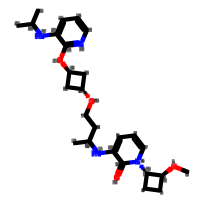 CO[C@H]1CC[C@@H]1n1cccc(NC(C)CCO[C@H]2C[C@H](Oc3ncccc3NC(C)C)C2)c1=O